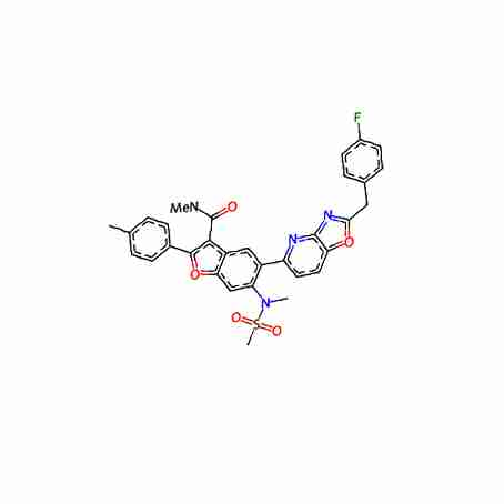 CNC(=O)c1c(-c2ccc(C)cc2)oc2cc(N(C)S(C)(=O)=O)c(-c3ccc4oc(Cc5ccc(F)cc5)nc4n3)cc12